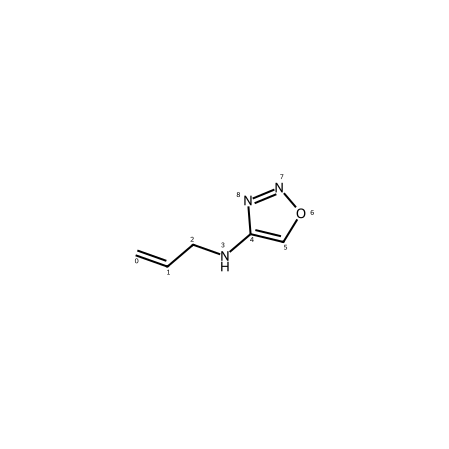 C=CCNc1conn1